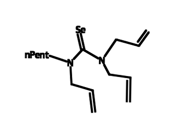 C=CCN(CC=C)C(=[Se])N(CC=C)CCCCC